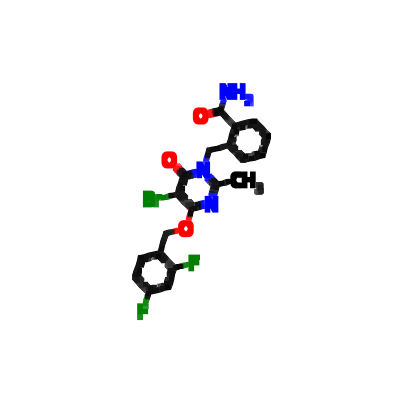 Cc1nc(OCc2ccc(F)cc2F)c(Br)c(=O)n1Cc1ccccc1C(N)=O